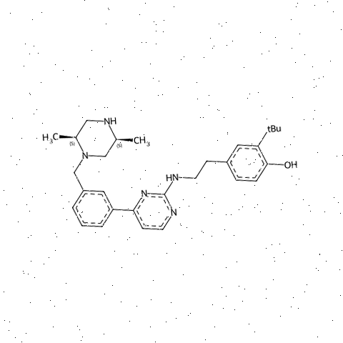 C[C@H]1CN(Cc2cccc(-c3ccnc(NCCc4ccc(O)c(C(C)(C)C)c4)n3)c2)[C@@H](C)CN1